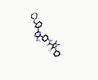 Cc1c(C(=O)Nc2ccc(-c3nc(-c4cccc(CN5CCOCC5)c4)cnc3N)cc2)c(=O)n(-c2ccccc2)n1C